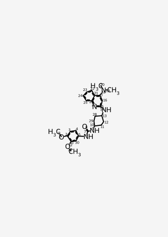 COc1ccc(NC(=O)NC2CCC(Nc3cc(N(C)C)c4ccccc4n3)CC2)cc1OC